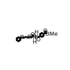 COC(=O)c1ccc(C(=O)NNC(=O)COCCCOc2ccccc2)cc1